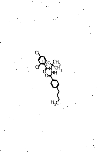 CCCCc1ccc(C(=O)NN(C(=O)c2ccc(Cl)cc2Cl)C(C)(C)C)cc1